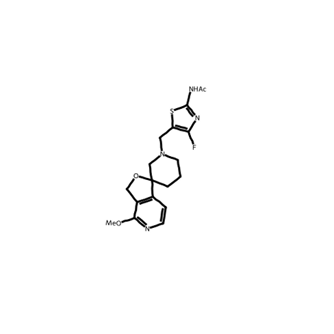 COc1nccc2c1COC21CCCN(Cc2sc(NC(C)=O)nc2F)C1